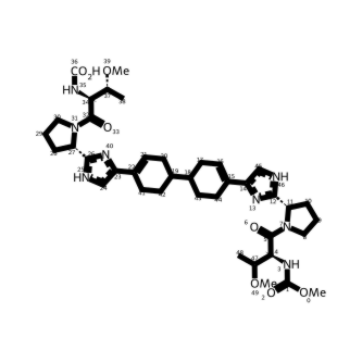 COC(=O)N[C@H](C(=O)N1CCC[C@H]1c1nc(C2=CCC(C3CC=C(c4c[nH]c([C@@H]5CCCN5C(=O)[C@@H](NC(=O)O)[C@@H](C)OC)n4)CC3)CC2)c[nH]1)C(C)OC